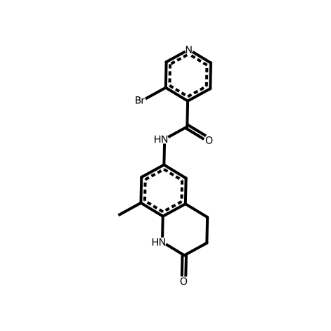 Cc1cc(NC(=O)c2ccncc2Br)cc2c1NC(=O)CC2